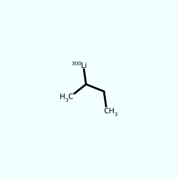 [300Li][CH](C)CC